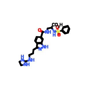 O=C(NCC(NS(=O)(=O)c1ccccc1)C(=O)O)c1ccc2c(CCCNC3NCCN3)n[nH]c2c1